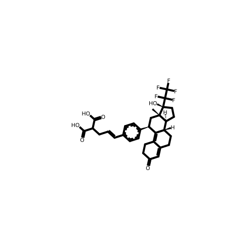 C[C@]12C[C@H](c3ccc(/C=C/CC(C(=O)O)C(=O)O)cc3)C3=C4CCC(=O)C=C4CC[C@H]3[C@@H]1CC[C@@]2(O)C(F)(F)C(F)(F)F